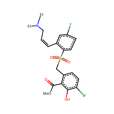 CCN(CC)C/C=C\c1cc(F)ccc1S(=O)(=O)Cc1ccc(Br)c(O)c1C(=O)OC